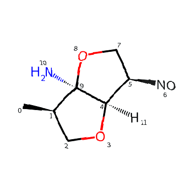 C[C@@H]1CO[C@@H]2[C@H](N=O)CO[C@]12N